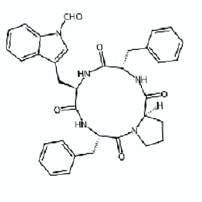 O=Cn1cc(C[C@H]2NC(=O)[C@H](Cc3ccccc3)NC(=O)[C@H]3CCCN3C(=O)[C@H](Cc3ccccc3)NC2=O)c2ccccc21